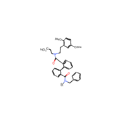 CCN(Cc1ccccc1)C(=O)c1ccccc1-c1ccccc1C(=O)N(CCC(=O)O)CCc1cc(OC)ccc1OC